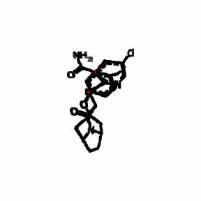 NC(=O)c1cc(Cl)cnc1OCC(=O)N1C2CCC1CC(Oc1ccc(F)cc1)C2